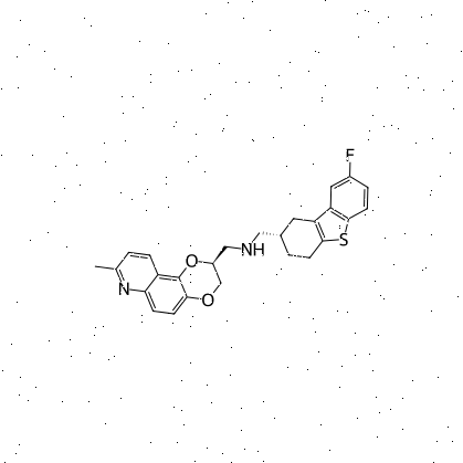 Cc1ccc2c3c(ccc2n1)OC[C@H](CNC[C@H]1CCc2sc4ccc(F)cc4c2C1)O3